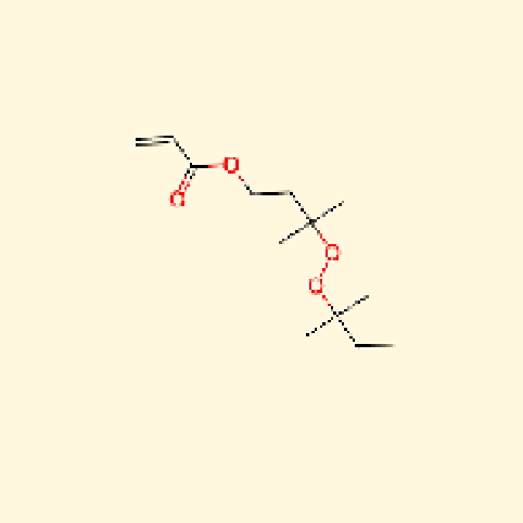 C=CC(=O)OCCC(C)(C)OOC(C)(C)CC